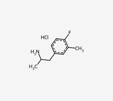 Cc1cc(CC(C)N)ccc1F.Cl